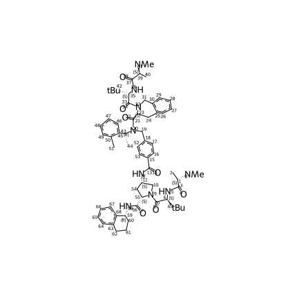 CN[C@@H](C)C(=O)N[C@H](C(=O)N1C[C@@H](NC(=O)c2ccc(CN(C(=O)[C@@H]3Cc4ccccc4CN3C(=O)[C@@H](NC(=O)[C@H](C)NC)C(C)(C)C)[C@H](C)c3ccccc3C)cc2)C[C@H]1C(=O)N[C@@H]1CCCc2ccccc21)C(C)(C)C